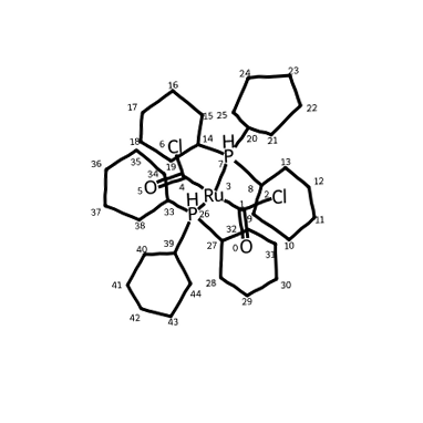 O=[C](Cl)[Ru]([C](=O)Cl)([PH](C1CCCCC1)(C1CCCCC1)C1CCCCC1)[PH](C1CCCCC1)(C1CCCCC1)C1CCCCC1